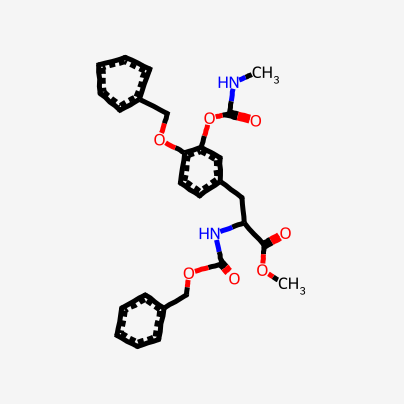 CNC(=O)Oc1cc(CC(NC(=O)OCc2ccccc2)C(=O)OC)ccc1OCc1ccccc1